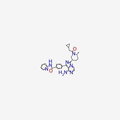 C[C@H]1CC[C@@H](c2nc(-c3ccc(C(=O)Nc4ccccn4)cc3)c3c(N)nccn23)CN1C(=O)CC1CC1